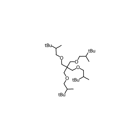 CC(COCC(COCC(C)C(C)(C)C)(COCC(C)C(C)(C)C)COCC(C)C(C)(C)C)C(C)(C)C